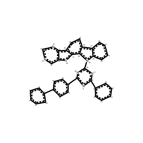 c1ccc(-c2ccc(-c3nc(-c4ccccc4)nc(-n4c5ccccc5c5ccc6c7ncncc7sc6c54)n3)cc2)cc1